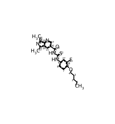 CCCCCOc1ccc(NC(=S)NC(=O)c2cnc3c(c2)c(C)nn3C)cc1F